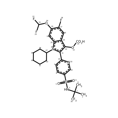 CC(C)(NS(=O)(=O)c1ccc(-c2c(OC(=O)O)c3cc(F)c(OC(F)F)cc3n2C2CCCCC2)nc1)C(F)(F)F